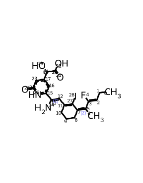 CCC=C(F)/C(C)=C1/CCCC(/C=C(\N)c2cc([C@H](O)C(=O)O)cc(=O)[nH]2)=C1I